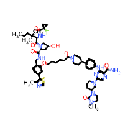 CCCC(C)(C)[C@H](NC(=O)C1(F)CC1)C(=O)N1C[C@H](O)C[C@H]1C(=O)NCc1ccc(-c2scnc2C)cc1OCCCCCC(=O)N1CCC(c2ccc(Nc3nc(N4CCC[C@@H](N5CCN(C)C5=O)C4)cnc3C(N)=O)cc2)CC1